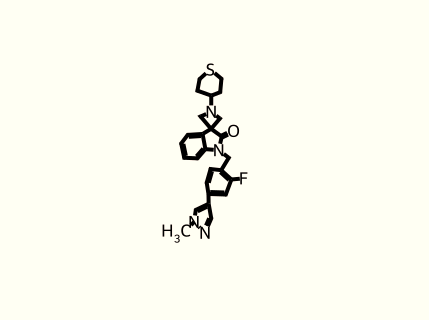 Cn1cc(-c2ccc(CN3C(=O)C4(CN(C5CCSCC5)C4)c4ccccc43)c(F)c2)cn1